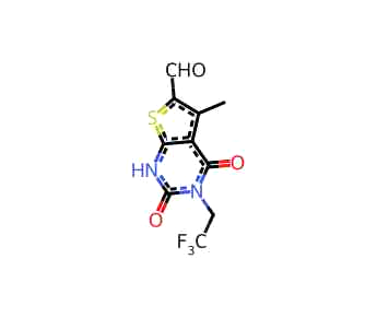 Cc1c(C=O)sc2[nH]c(=O)n(CC(F)(F)F)c(=O)c12